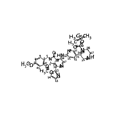 COc1ccc(CN2Cc3c(-c4ncco4)ncc(Nc4ccc(C5CNCCN5C(=O)OC(C)(C)C)cn4)c3C2=O)c(OC)c1